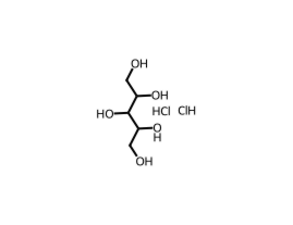 Cl.Cl.OCC(O)C(O)C(O)CO